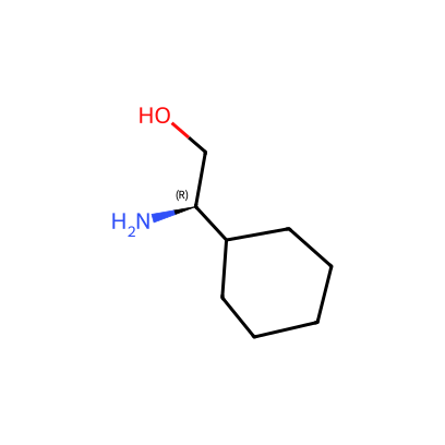 N[C@@H](CO)C1CCCCC1